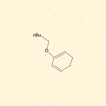 CCCCCOC1=CC[CH][C]=C1